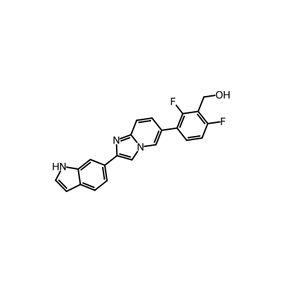 OCc1c(F)ccc(-c2ccc3nc(-c4ccc5cc[nH]c5c4)cn3c2)c1F